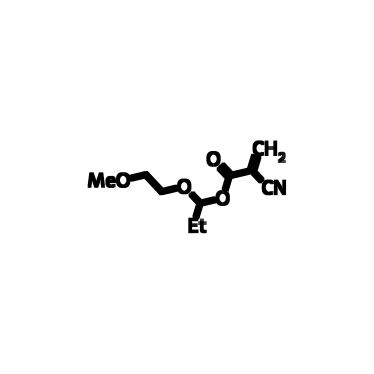 C=C(C#N)C(=O)OC(CC)OCCOC